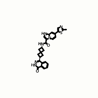 Cc1ncc(C2=CC3NC=C(C(=O)N[C@H]4CC5(C4)C[C@H](c4n[nH]c(=O)c6ccccc64)C5)N3C=C2)s1